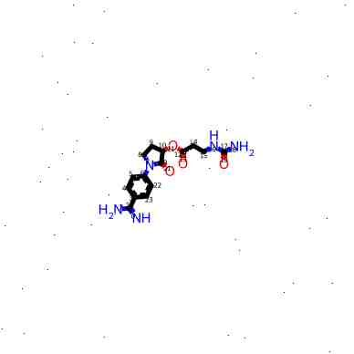 N=C(N)c1ccc(N2CCC(OC(=O)CCNC(N)=O)C2=O)cc1